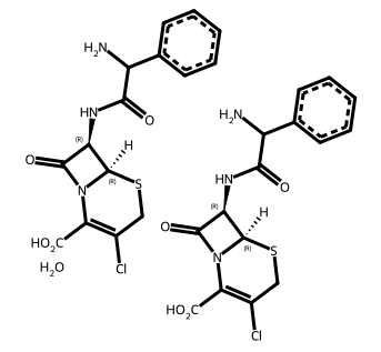 NC(C(=O)N[C@@H]1C(=O)N2C(C(=O)O)=C(Cl)CS[C@H]12)c1ccccc1.NC(C(=O)N[C@@H]1C(=O)N2C(C(=O)O)=C(Cl)CS[C@H]12)c1ccccc1.O